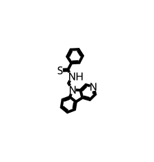 S=C(NCn1c2ccccc2c2ccncc21)c1ccccc1